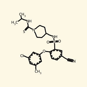 Cc1cc(Cl)cc(Oc2ccc(C#N)cc2S(=O)(=O)NC2CCN(C(=S)NC(C)C)CC2)c1